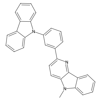 Cn1c2ccccc2c2nc(-c3cccc(-n4c5ccccc5c5ccccc54)c3)ccc21